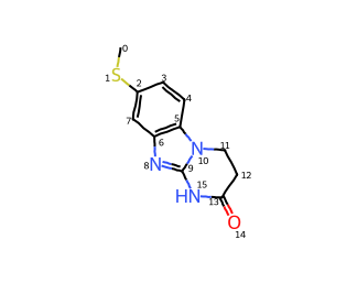 CSc1ccc2c(c1)nc1n2CCC(=O)N1